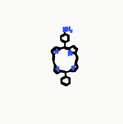 Nc1ccc(C2=C3C=CC(=N3)C=C3C=CC(=N3)C(c3ccccc3)=C3C=CC(=N3)C=C3C=CC2=N3)cc1